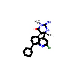 CN1C(=N)N[C@](C)(c2ccnc(Br)c2)[C@@H](c2ccc(-c3ccccc3)cc2)C1=O